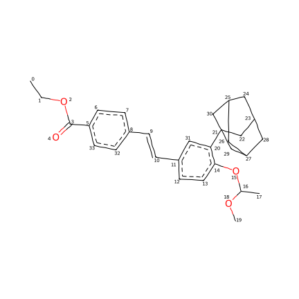 CCOC(=O)c1ccc(C=Cc2ccc(OC(C)OC)c(C34CC5CC(CC(C5)C3)C4)c2)cc1